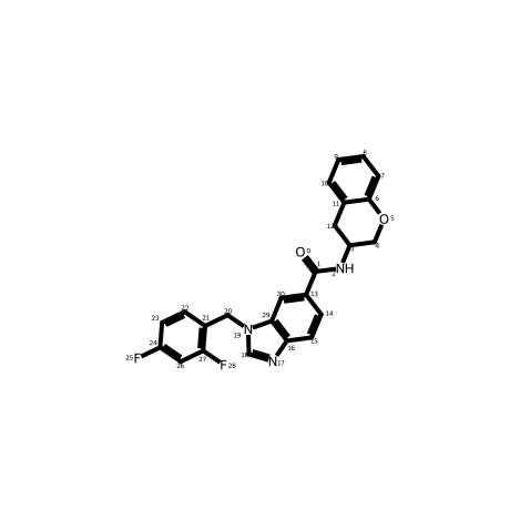 O=C(NC1COc2ccccc2C1)c1ccc2ncn(Cc3ccc(F)cc3F)c2c1